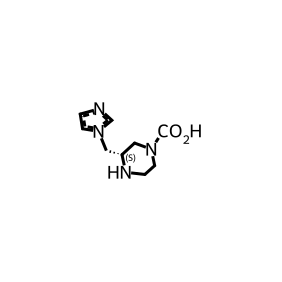 O=C(O)N1CCN[C@H](Cn2ccnc2)C1